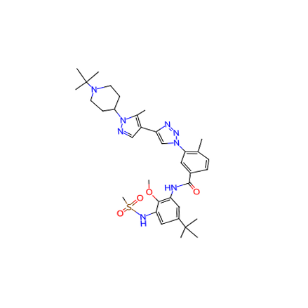 COc1c(NC(=O)c2ccc(C)c(-n3cc(-c4cnn(C5CCN(C(C)(C)C)CC5)c4C)nn3)c2)cc(C(C)(C)C)cc1NS(C)(=O)=O